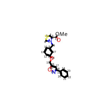 COC(=O)[C@@H]1CSCN1Cc1cccc(OCc2cc(-c3ccccc3)no2)c1